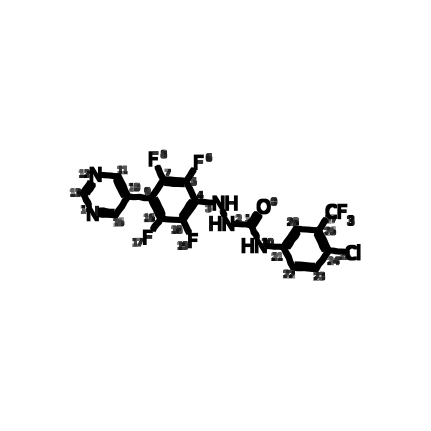 O=C(NNc1c(F)c(F)c(-c2cncnc2)c(F)c1F)Nc1ccc(Cl)c(C(F)(F)F)c1